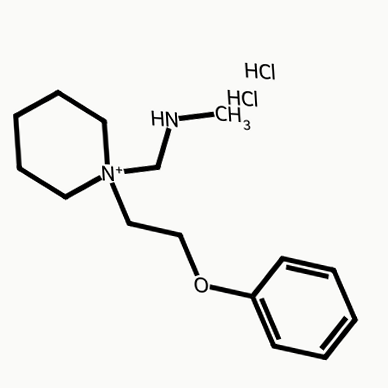 CNC[N+]1(CCOc2ccccc2)CCCCC1.Cl.Cl